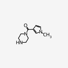 Cn1ccc(C(=O)N2CCNCC2)c1